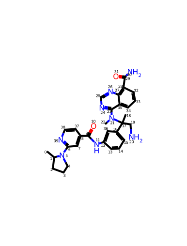 CC1CCCN1c1cc(C(=O)Nc2cccc(C(C)(CN)N(C)c3ncnc4c(C(N)=O)cccc34)c2)ccn1